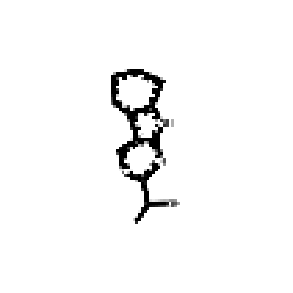 CC(O)c1ncc2c(n1)[nH]c1ccccc12